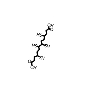 O=C(O)CCC(S)CCC(S)C(S)CCC(S)CCC(=O)O